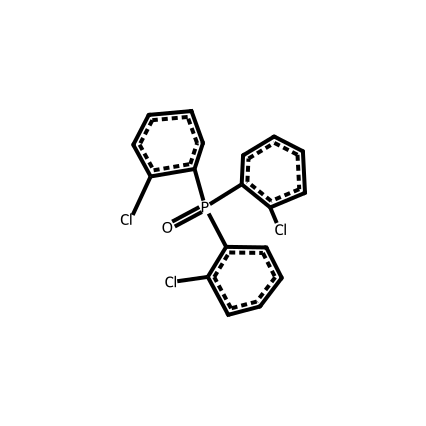 O=P(c1ccccc1Cl)(c1ccccc1Cl)c1ccccc1Cl